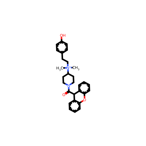 C[N+](C)(CCc1ccc(O)cc1)C1CCN(C(=O)C2c3ccccc3Oc3ccccc32)CC1